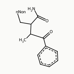 CCCCCCCCCCC(C(N)=O)C(C)C(=O)c1ccccc1